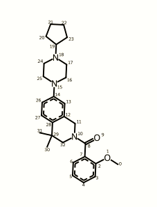 COc1ccccc1C(=O)N1Cc2cc(N3CCN(C4CCCC4)CC3)ccc2C(C)(C)C1